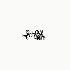 C=C(C)C(=O)OCC(=O)O[Si](C)(OCC)OCC